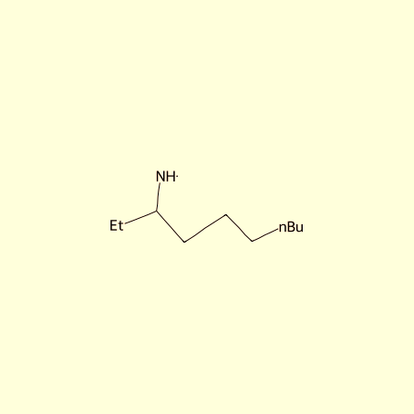 CCCCCCCC([NH])CC